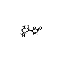 C[SiH](C)OC(C1C=CC(=O)O1)C(C)(C)C